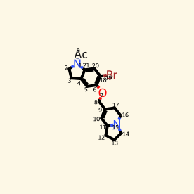 CC(=O)N1CCc2cc(OCC3=CC4CCCN4CC3)c(Br)cc21